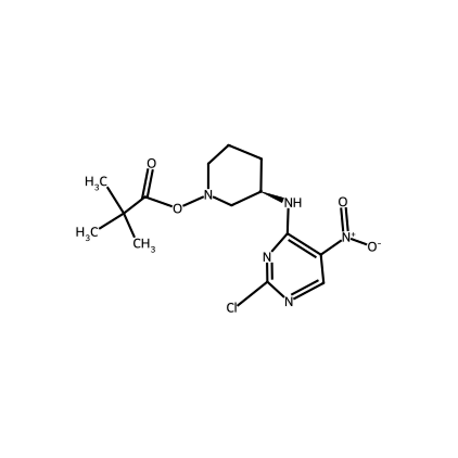 CC(C)(C)C(=O)ON1CCC[C@@H](Nc2nc(Cl)ncc2[N+](=O)[O-])C1